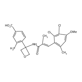 COc1cc(C)c(/C=C(\C)C(=O)NC2(c3ccc(C(=O)O)cc3P)COC2)c(Cl)c1Cl